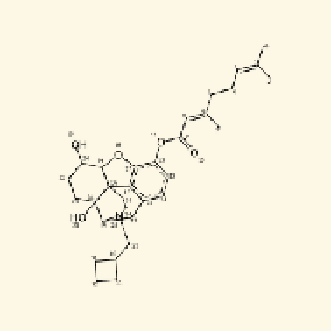 CC(C)=CCC/C(C)=C/C(=O)Oc1ccc2c3c1OC1C(O)CCC4(O)C(C2)N(CC2CCC2)CCC314